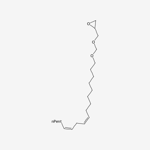 CCCCC/C=C\C/C=C\CCCCCCCCOCOCC1CO1